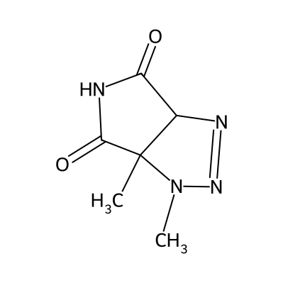 CN1N=NC2C(=O)NC(=O)C21C